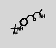 CC(=N)CC(=O)Cc1ccc(NC(C)(C)C(C)=O)cc1